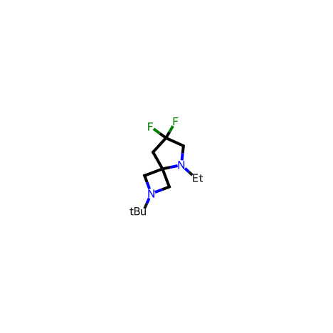 CCN1CC(F)(F)CC12CN(C(C)(C)C)C2